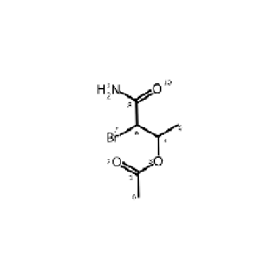 CC(=O)OC(C)C(Br)C(N)=O